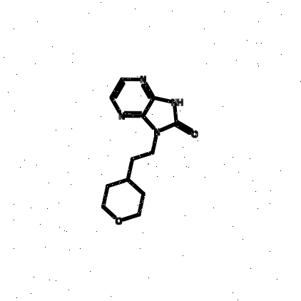 O=c1[nH]c2nccnc2n1CCC1CCOCC1